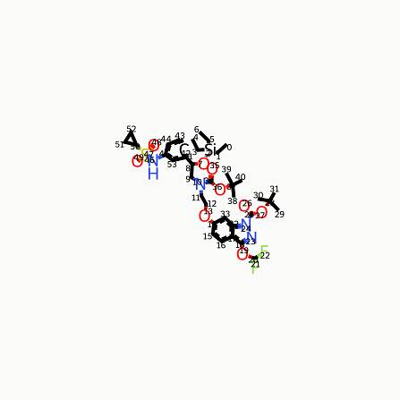 CC[Si](CC)(CC)OC(CN(CCOc1ccc2c(OC(F)F)nn(C(=O)OC(C)(C)C)c2c1)C(=O)OC(C)(C)C)c1cccc(NS(=O)(=O)C2CC2)c1